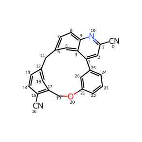 N#Cc1cc2c3cc(ccc3n1)Cc1ccc(C#N)c(c1)COc1cccc-2c1